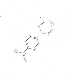 C=NN(/C=N\N)c1ccc(C(=O)O)cc1